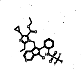 CCOC(=O)c1c(C2CC2)nc(CC)n1Cc1c2ccocc-2c(Cl)c1-c1ccccc1NS(=O)(=O)C(F)(F)F